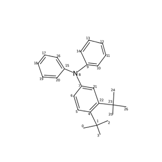 CC(C)(C)c1ccc(N(c2ccccc2)c2ccccc2)cc1C(C)(C)C